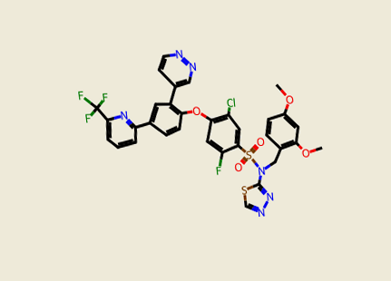 COc1ccc(CN(c2nncs2)S(=O)(=O)c2cc(Cl)c(Oc3ccc(-c4cccc(C(F)(F)F)n4)cc3-c3ccnnc3)cc2F)c(OC)c1